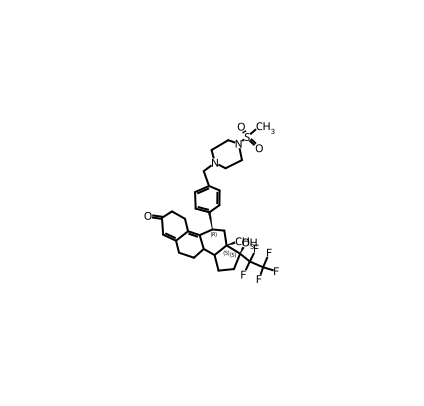 C[C@]12C[C@H](c3ccc(CN4CCN(S(C)(=O)=O)CC4)cc3)C3=C4CCC(=O)C=C4CCC3C1CC[C@@]2(O)C(F)(F)C(F)(F)F